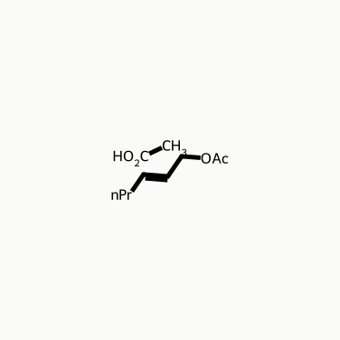 CC(=O)O.CCCC=CCOC(C)=O